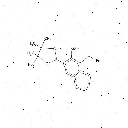 CSc1c(B2OC(C)(C)C(C)(C)O2)cc2ccccc2c1CC(C)(C)C